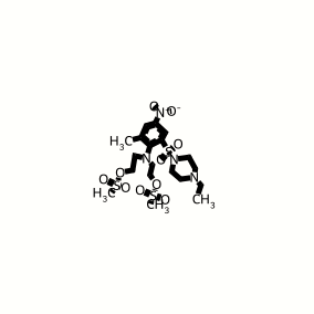 CCN1CCN(S(=O)(=O)c2cc([N+](=O)[O-])cc(C)c2N(CCOS(C)(=O)=O)CCOS(C)(=O)=O)CC1